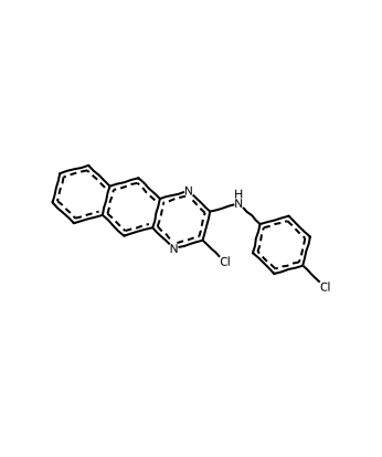 Clc1ccc(Nc2nc3cc4ccccc4cc3nc2Cl)cc1